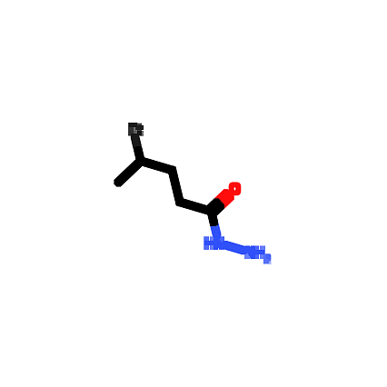 CCC(C)CCC(=O)NN